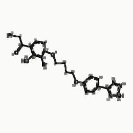 CC(C)CC(=O)c1ccc(OCCCCOc2ccc(-c3nn[nH]n3)cc2)c(Br)c1O